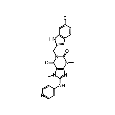 Cn1c(Nc2ccncc2)nc2c1c(=O)n(Cc1cc3ccc(Cl)cc3[nH]1)c(=O)n2C